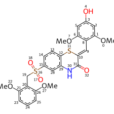 COc1cc(O)cc(OC)c1C=C1Sc2ccc(S(=O)(=O)Cc3c(OC)cccc3OC)cc2NC1=O